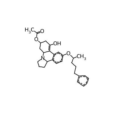 CC(=O)OC1CC(O)=C2c3cc(OC(C)CCCc4ccccc4)ccc3C3CCCN3C2C1